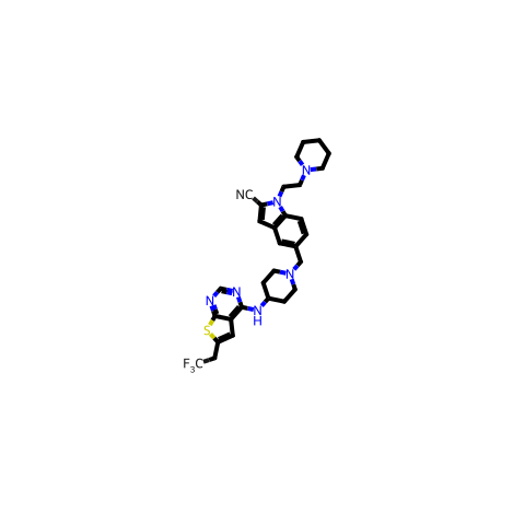 N#Cc1cc2cc(CN3CCC(Nc4ncnc5sc(CC(F)(F)F)cc45)CC3)ccc2n1CCN1CCCCC1